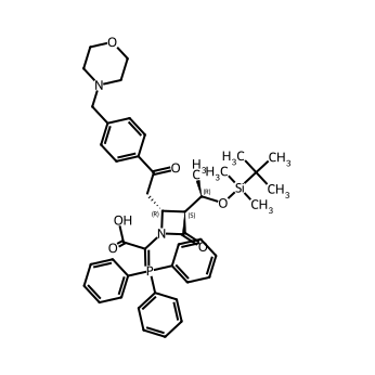 C[C@@H](O[Si](C)(C)C(C)(C)C)[C@H]1C(=O)N(C(C(=O)O)=P(c2ccccc2)(c2ccccc2)c2ccccc2)[C@@H]1CC(=O)c1ccc(CN2CCOCC2)cc1